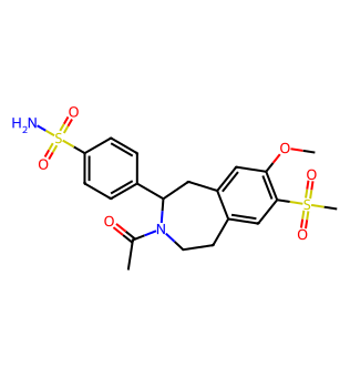 COc1cc2c(cc1S(C)(=O)=O)CCN(C(C)=O)C(c1ccc(S(N)(=O)=O)cc1)C2